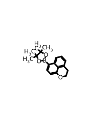 CC1(C)OB(c2ccc3c4c(cccc24)CCO3)OC1(C)C